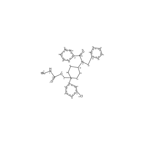 CC(C)(C)NC(=O)OCC1(c2cccc(Cl)c2)CCC(N(Cc2ccccc2)C(=O)c2cccnn2)CC1